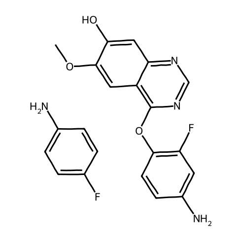 COc1cc2c(Oc3ccc(N)cc3F)ncnc2cc1O.Nc1ccc(F)cc1